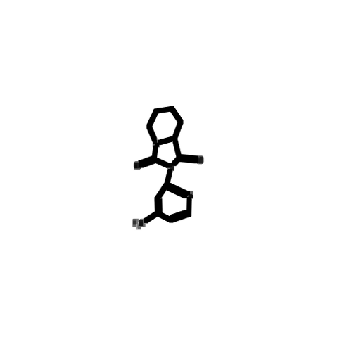 O=C1C2CCCCN2C(=O)N1c1cc(C(F)(F)F)ccn1